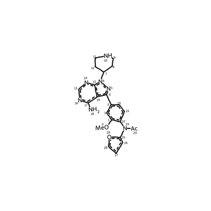 COc1cc(-c2nn(C3CCNCC3)c3ncnc(N)c23)ccc1N(C(C)=O)c1ccco1